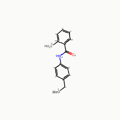 COCc1ccc(NC(=O)c2ccccc2C(=O)O)cc1